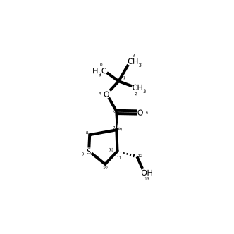 CC(C)(C)OC(=O)[C@@H]1CSC[C@H]1CO